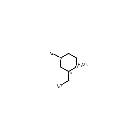 CC(=O)N1CCO[C@@H](CN)C1.Cl.N